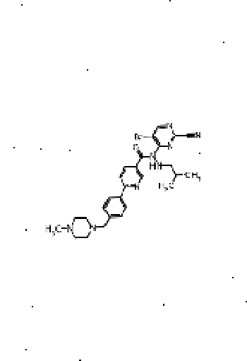 CC(C)CNN(C(=O)c1ccc(-c2ccc(CN3CCN(C)CC3)cc2)nc1)c1nc(C#N)ncc1Br